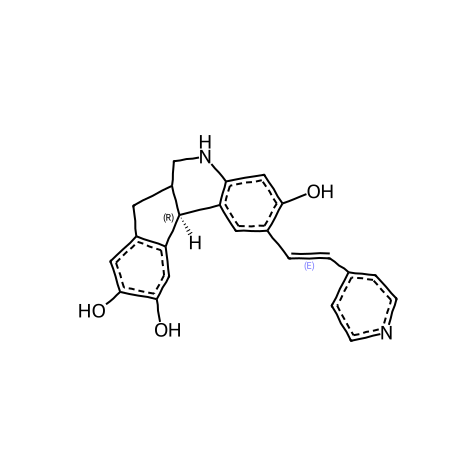 Oc1cc2c(cc1O)[C@@H]1c3cc(/C=C/c4ccncc4)c(O)cc3NCC1C2